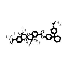 COc1ccc(C2(c3ccc(OC(=O)c4ccc5c(c4)C(C)(C)CC4(CC(C)(C)c6cc(C(C)=O)ccc6O4)O5)cc3)CCCCC2)cc1